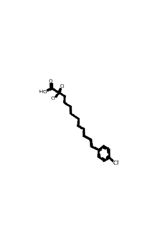 O=C(O)C(Cl)(Cl)CCCCCCCCCCc1ccc(Cl)cc1